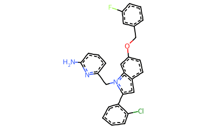 Nc1cccc(Cn2c(-c3ccccc3Cl)cc3ccc(OCc4cccc(F)c4)cc32)n1